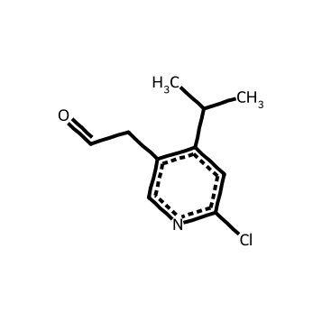 CC(C)c1cc(Cl)ncc1CC=O